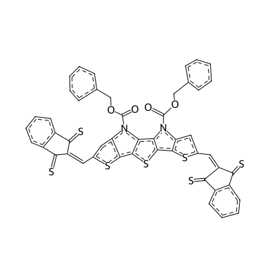 O=C(OCc1ccccc1)n1c2cc(C=C3C(=S)c4ccccc4C3=S)sc2c2sc3c4sc(C=C5C(=S)c6ccccc6C5=S)cc4n(C(=O)OCc4ccccc4)c3c21